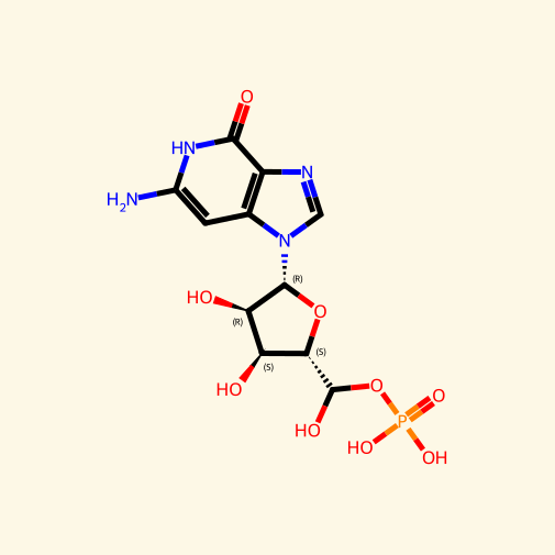 Nc1cc2c(ncn2[C@@H]2O[C@H](C(O)OP(=O)(O)O)[C@@H](O)[C@H]2O)c(=O)[nH]1